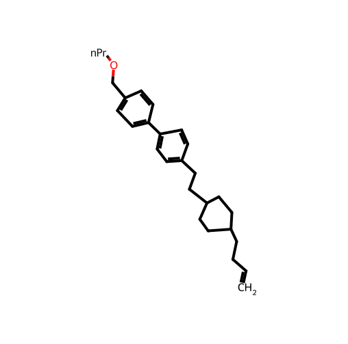 C=CCCC1CCC(CCc2ccc(-c3ccc(COCCC)cc3)cc2)CC1